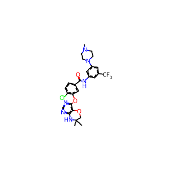 CN1CCN(c2cc(NC(=O)c3ccc(Cl)c(Oc4ncnc5c4OCC(C)(C)N5)c3)cc(C(F)(F)F)c2)CC1